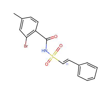 Cc1ccc(C(=O)NS(=O)(=O)/C=C/c2ccccc2)c(Br)c1